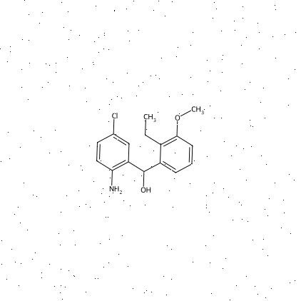 CCc1c(OC)cccc1C(O)c1cc(Cl)ccc1N